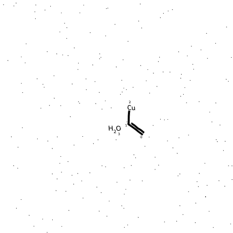 C=[CH][Cu].O